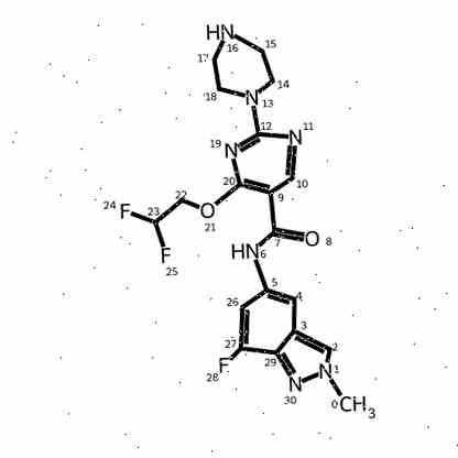 Cn1cc2cc(NC(=O)c3cnc(N4CCNCC4)nc3OCC(F)F)cc(F)c2n1